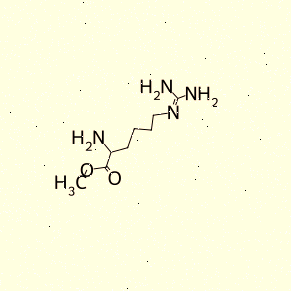 COC(=O)C(N)CCCCN=C(N)N